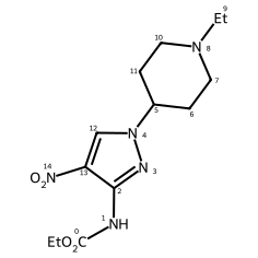 CCOC(=O)Nc1nn(C2CCN(CC)CC2)cc1[N+](=O)[O-]